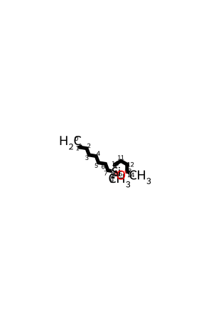 C=CCCCCCC[Si]1(C)CCCC(C)O1